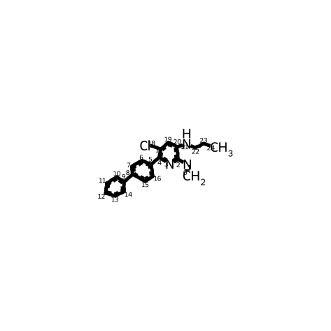 C=Nc1nc(-c2ccc(-c3ccccc3)cc2)c(Cl)cc1NCCC